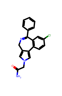 NC(=O)Cn1cc2c(c1)-c1ccc(Cl)cc1C(c1ccccc1)=NC2